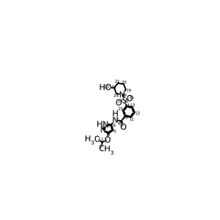 CC(C)Oc1cc(NC(=O)c2cccc(S(=O)(=O)N3CCCC(O)C3)c2)[nH]n1